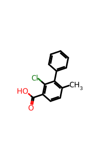 Cc1ccc(C(=O)O)c(Cl)c1-c1ccccc1